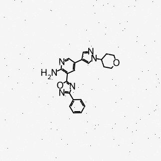 Nc1ncc(-c2cnn(C3CCOCC3)c2)cc1-c1nc(-c2ccccc2)no1